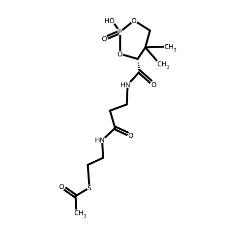 CC(=O)SCCNC(=O)CCNC(=O)[C@@H]1OP(=O)(O)OCC1(C)C